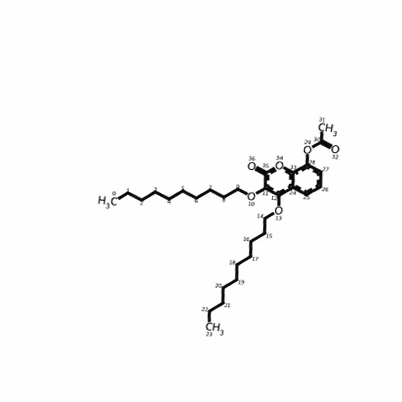 CCCCCCCCCCOc1c(OCCCCCCCCCC)c2cccc(OC(C)=O)c2oc1=O